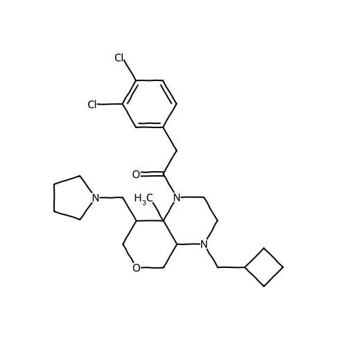 CC12C(CN3CCCC3)COCC1N(CC1CCC1)CCN2C(=O)Cc1ccc(Cl)c(Cl)c1